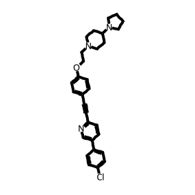 Clc1ccc(-c2ccc(C#Cc3ccc(OCCN4CCC(N5CCCC5)CC4)cc3)nc2)cc1